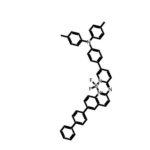 Cc1ccc(N(c2ccc(C)cc2)c2ccc(C3=CN4C(=Nc5ccc6cc(-c7ccc(-c8ccccc8)cc7)ccc6[n+]5[B-]4(F)F)C=C3)cc2)cc1